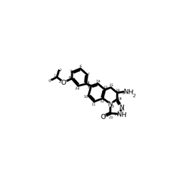 CC(C)Oc1cccc(-c2ccc3c(c2)CC(N)c2n[nH]c(=O)n2-3)c1